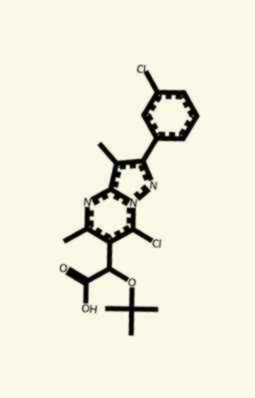 Cc1nc2c(C)c(-c3cccc(Cl)c3)nn2c(Cl)c1C(OC(C)(C)C)C(=O)O